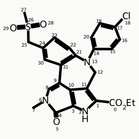 CCOC(=O)c1[nH]c2c(=O)n(C)cc3c2c1CN(c1ccc(Cl)cc1)c1ccc(CS(C)(=O)=O)cc1-3